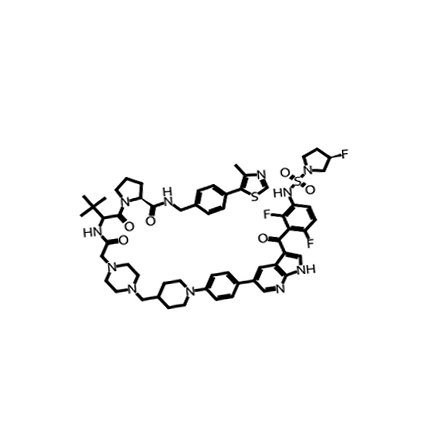 Cc1ncsc1-c1ccc(CNC(=O)[C@@H]2CCCN2C(=O)C(NC(=O)CN2CCN(CC3CCN(c4ccc(-c5cnc6[nH]cc(C(=O)c7c(F)ccc(NS(=O)(=O)N8CC[C@@H](F)C8)c7F)c6c5)cc4)CC3)CC2)C(C)(C)C)cc1